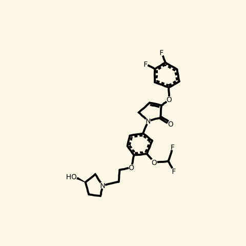 O=C1C(Oc2ccc(F)c(F)c2)=CCN1c1ccc(OCCN2CC[C@@H](O)C2)c(OC(F)F)c1